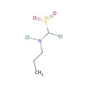 CCCN(Cl)C(Cl)[SH](=O)=O